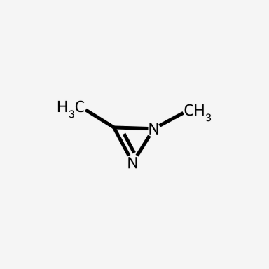 CC1=NN1C